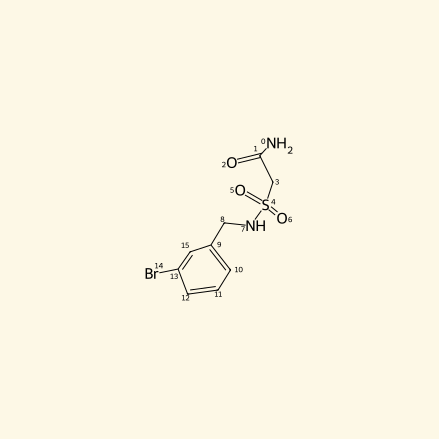 NC(=O)CS(=O)(=O)NCc1cccc(Br)c1